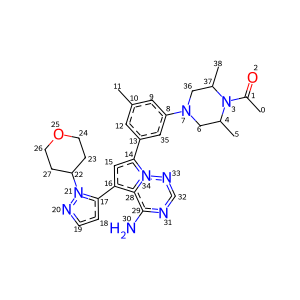 CC(=O)N1C(C)CN(c2cc(C)cc(-c3cc(-c4ccnn4C4CCOCC4)c4c(N)ncnn34)c2)CC1C